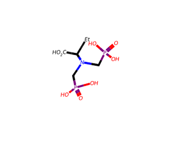 CCC(C(=O)O)N(CP(=O)(O)O)CP(=O)(O)O